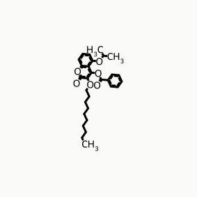 CCCCCCCCCCOc1c(OC(=O)c2ccccc2)c2c(OC(C)C)cccc2oc1=O